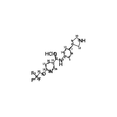 Cl.O=C(Nc1ccc([C@H]2CCNC2)cc1)c1ccc(OCC(F)(F)F)nc1